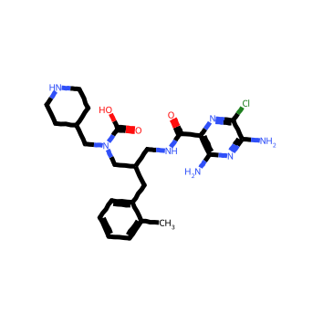 Cc1ccccc1CC(CNC(=O)c1nc(Cl)c(N)nc1N)CN(CC1CCNCC1)C(=O)O